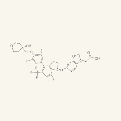 O=C(O)C[C@@H]1COc2cc(O[C@@H]3CCc4c(-c5cc(F)c(OCC6(O)CCOCC6)c(F)c5)c(C(F)(F)F)cc(F)c43)ccc21